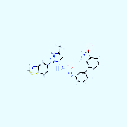 CC(C)(C)c1cc(NC(=O)Nc2cccc(-c3cccc4c3CNC4=O)c2)n(-c2ccc3scnc3c2)n1